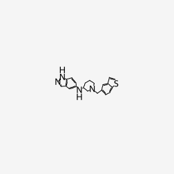 c1cc2cc(CN3CCC[C@@H](Nc4ccc5[nH]ncc5c4)C3)ccc2s1